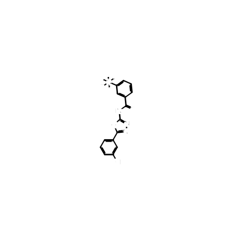 O=C(Nc1nnc(-c2cccc(Cl)c2)o1)c1cccc(S(F)(F)(F)(F)F)c1